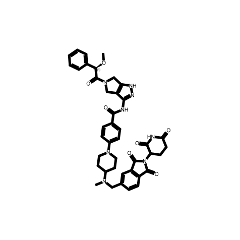 CO[C@@H](C(=O)N1Cc2[nH]nc(NC(=O)c3ccc(N4CCC(N(C)Cc5ccc6c(c5)C(=O)N(C5CCC(=O)NC5=O)C6=O)CC4)cc3)c2C1)c1ccccc1